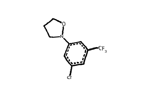 FC(F)(F)c1cc(Cl)cc(N2CCCO2)c1